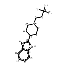 FC(F)(F)CCN1CCC(c2nc3ccccc3s2)CC1